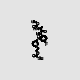 CC(NC(=O)OC(C)(C)C)C(=O)Nc1ccc(F)cc1NC1CCCN(CCOC(=O)C(C)(C)C)C1